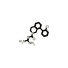 NC(N)=NC(=O)N1CCc2cccc(-c3ccccc3Cl)c2C1